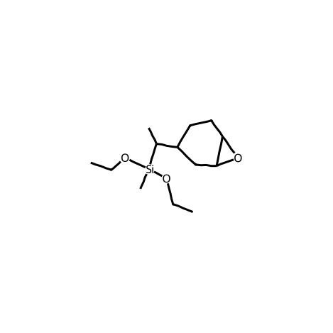 CCO[Si](C)(OCC)C(C)C1CCC2OC2C1